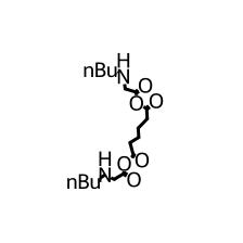 CCCCNCC(=O)OC(=O)CCCCC(=O)OC(=O)CNCCCC